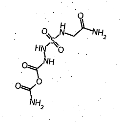 NC(=O)CNS(=O)(=O)NNC(=O)OC(N)=O